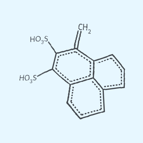 C=c1c(S(=O)(=O)O)c(S(=O)(=O)O)c2cccc3cccc1c32